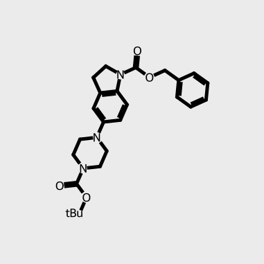 CC(C)(C)OC(=O)N1CCN(c2ccc3c(c2)CCN3C(=O)OCc2ccccc2)CC1